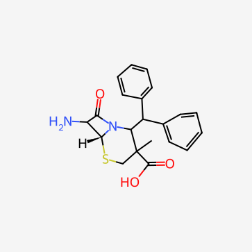 CC1(C(=O)O)CS[C@@H]2C(N)C(=O)N2C1C(c1ccccc1)c1ccccc1